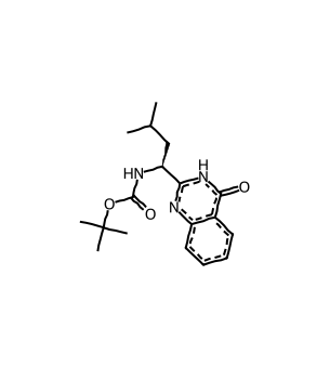 CC(C)C[C@H](NC(=O)OC(C)(C)C)c1nc2ccccc2c(=O)[nH]1